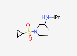 CC(C)NC1CCCN(S(=O)(=O)C2CC2)C1